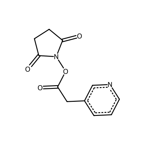 O=C(Cc1cccnc1)ON1C(=O)CCC1=O